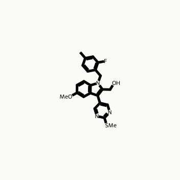 COc1ccc2c(c1)c(-c1cnc(SC)nc1)c(CO)n2Cc1ccc(C)cc1F